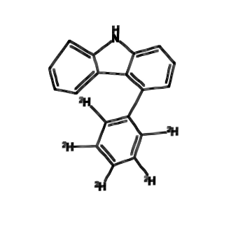 [2H]c1c([2H])c([2H])c(-c2cccc3[nH]c4ccccc4c23)c([2H])c1[2H]